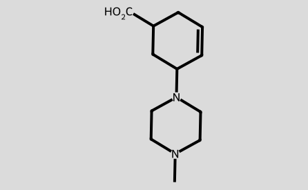 CN1CCN(C2C=CCC(C(=O)O)C2)CC1